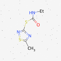 CCNC(=O)Sc1nsc(C)n1